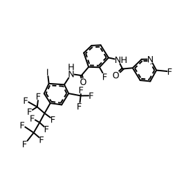 O=C(Nc1cccc(C(=O)Nc2c(I)cc(C(F)(C(F)(F)F)C(F)(F)C(F)(F)F)cc2C(F)(F)F)c1F)c1ccc(F)nc1